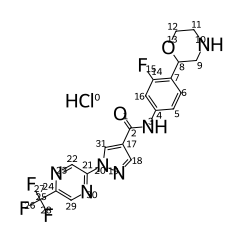 Cl.O=C(Nc1ccc(C2CNCCO2)c(F)c1)c1cnn(-c2cnc(C(F)(F)F)cn2)c1